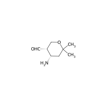 CC1(C)C[C@H](N)[C@H](C=O)CO1